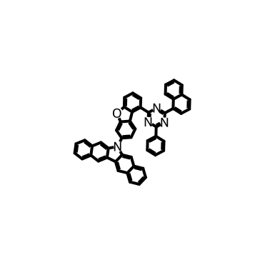 c1ccc(-c2nc(-c3cccc4ccccc34)nc(-c3cccc4oc5cc(-n6c7cc8ccccc8cc7c7cc8ccccc8cc76)ccc5c34)n2)cc1